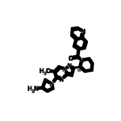 Cc1cn2nc([C@@H]3CCCCN3C(=O)c3ccc4ncccc4c3)cc2nc1N1CCC(N)C1